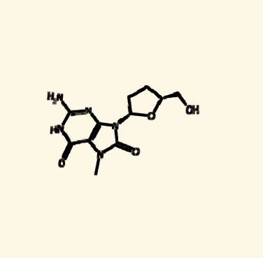 Cn1c(=O)n([C@H]2CC[C@@H](CO)O2)c2nc(N)[nH]c(=O)c21